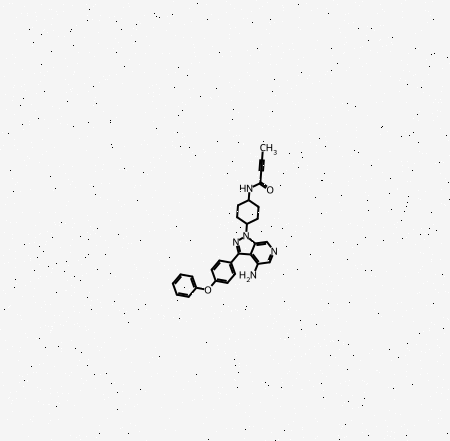 CC#CC(=O)NC1CCC(n2nc(-c3ccc(Oc4ccccc4)cc3)c3c(N)cncc32)CC1